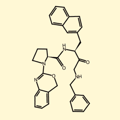 O=C(CNCc1ccccc1)[C@H](Cc1ccc2ccccc2c1)NC(=O)[C@@H]1CCCN1C1=Nc2ccccc2CO1